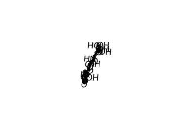 C[C@]12C[C@H](O)C3(F)[C@@H](CCC4=CC(=O)C=C[C@@]43C)C1CCC2C(=O)COC(=O)NCC(=O)NCCCCC(CON(O)O)ON(O)O